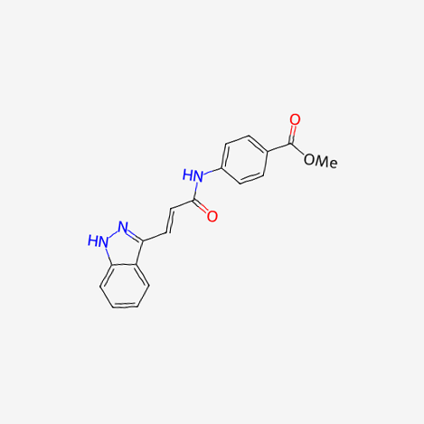 COC(=O)c1ccc(NC(=O)C=Cc2n[nH]c3ccccc23)cc1